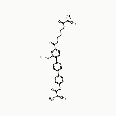 C=C(C)C(=O)OCCCOC(=O)c1ccc(-c2ccc(-c3ccc(OC(=O)C(=C)C)cc3)cc2)c(SC)c1